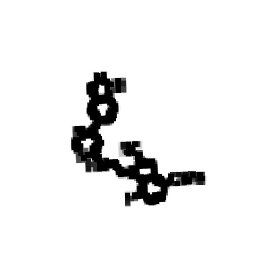 COc1ccc(F)c2c1cc(C#N)n2CCNc1cc(-c2ccc3[nH]ncc3c2)ncn1